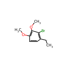 C[CH]c1ccc(OC)c(OC)c1Br